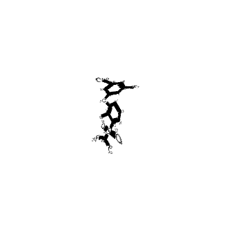 [CH2]c1c(Oc2cc(F)cc(Cl)c2)cccc1S(=O)(=O)C(F)F